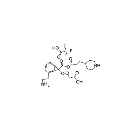 NCCc1cccc2c1C2(OOCC(=O)O)C(=O)OC(=O)CCC1CCNCC1.O=C(O)C(F)(F)F